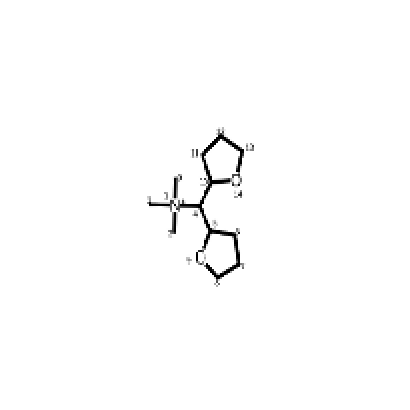 C[N+](C)(C)C(C1CCCO1)C1CCCO1